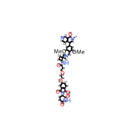 COc1cc(-c2cn(C)c(=O)c3cnccc23)cc(OC)c1CN1CC2(CCC2NC(=O)CCOCCOc2ccc3c(c2)C(=O)N(C2CCC(=O)NC2=O)C3=O)C1